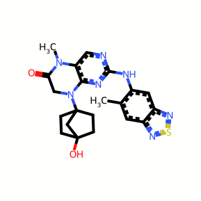 Cc1cc2nsnc2cc1Nc1ncc2c(n1)N(C13CCC(O)(CC1)C3)CC(=O)N2C